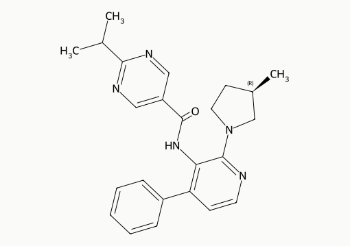 CC(C)c1ncc(C(=O)Nc2c(-c3ccccc3)ccnc2N2CC[C@@H](C)C2)cn1